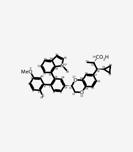 COc1ccc(F)c(-c2ccc([C@H]3COc4ccc([C@H](C5CC5)[C@H](C)C(=O)O)cc4O3)cc2-c2cccc3ccn(C)c23)c1